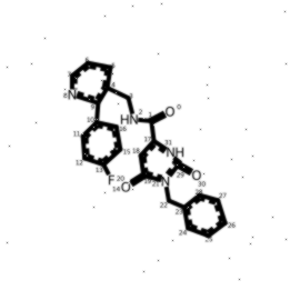 O=C(NCc1cccnc1-c1ccc(F)cc1)c1cc(=O)n(Cc2ccccc2)c(=O)[nH]1